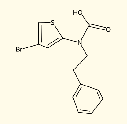 O=C(O)N(CCc1ccccc1)c1cc(Br)cs1